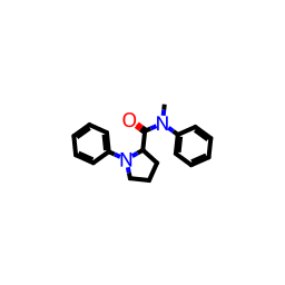 CN(C(=O)C1CCCN1c1ccccc1)c1ccccc1